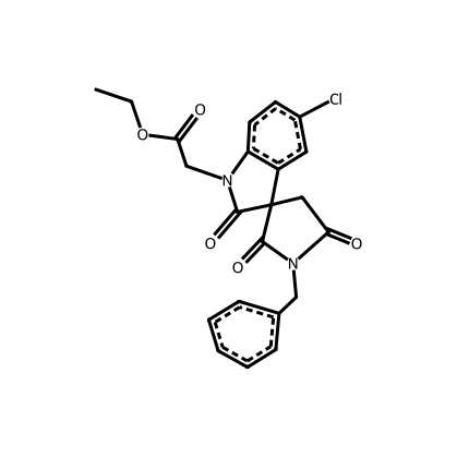 CCOC(=O)CN1C(=O)C2(CC(=O)N(Cc3ccccc3)C2=O)c2cc(Cl)ccc21